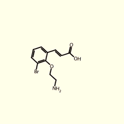 NCCOc1c(Br)cccc1C=CC(=O)O